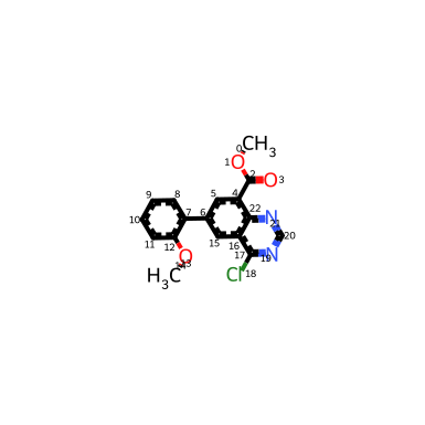 COC(=O)c1cc(-c2ccccc2OC)cc2c(Cl)ncnc12